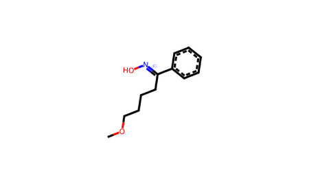 COCCCC/C(=N\O)c1ccccc1